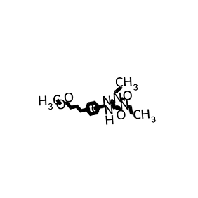 CCCn1c(=O)c2[nH]c(C34CCC(CCCC(=O)OC)(CC3)CC4)nc2n(CCC)c1=O